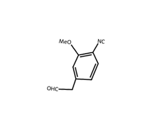 [C-]#[N+]c1ccc(CC=O)cc1OC